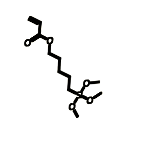 C=CC(=O)OCCCCC[Si](OC)(OC)OC